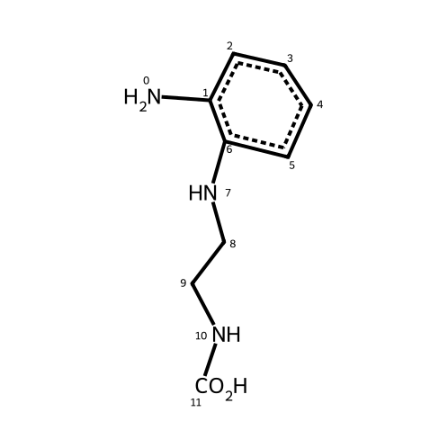 Nc1ccccc1NCCNC(=O)O